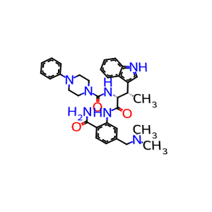 C[C@@H](c1c[nH]c2ccccc12)[C@@H](NC(=O)N1CCN(c2ccccc2)CC1)C(=O)Nc1cc(CN(C)C)ccc1C(N)=O